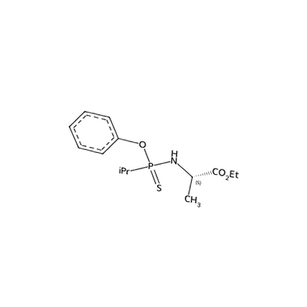 CCOC(=O)[C@H](C)NP(=S)(Oc1ccccc1)C(C)C